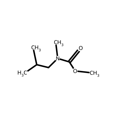 COC(=O)N(C)CC(C)C